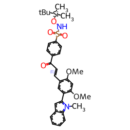 COc1cc(OC)c(-c2cc3ccccc3n2C)cc1/C=C/C(=O)c1ccc(S(=O)(=O)NO[Si](C)(C)C(C)(C)C)cc1